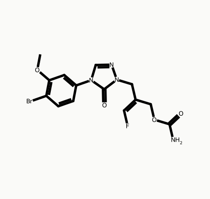 COc1cc(-n2cnn(CC(=CF)COC(N)=O)c2=O)ccc1Br